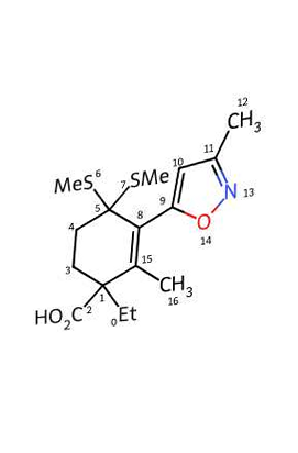 CCC1(C(=O)O)CCC(SC)(SC)C(c2cc(C)no2)=C1C